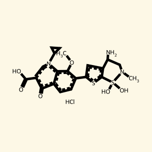 COc1c(-c2cc3c(s2)S(O)(O)N(C)CC3N)ccc2c(=O)c(C(=O)O)cn(C3CC3)c12.Cl